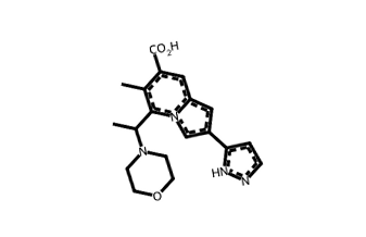 Cc1c(C(=O)O)cc2cc(-c3ccn[nH]3)cn2c1C(C)N1CCOCC1